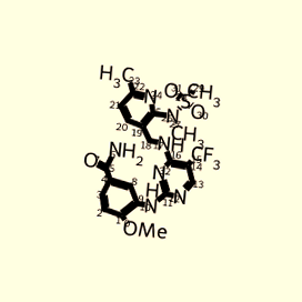 COc1ccc(C(N)=O)cc1Nc1ncc(C(F)(F)F)c(NCc2ccc(C)nc2N(C)S(C)(=O)=O)n1